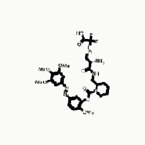 COc1ccc(N=Nc2cc(OC)c(OC)c(OC)c2)cc1OC(=O)N1CCCCC1CNC(=O)[C@@H](N)CC(C)C.O=C(O)C(F)(F)F